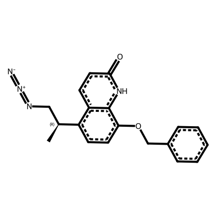 C[C@@H](CN=[N+]=[N-])c1ccc(OCc2ccccc2)c2[nH]c(=O)ccc12